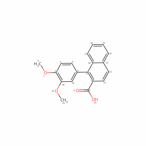 COc1ccc(-c2c(C(=O)O)ccc3ccccc23)cc1OC